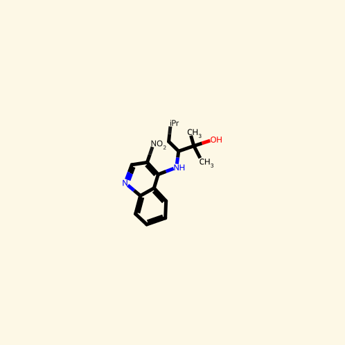 CC(C)CC(Nc1c([N+](=O)[O-])cnc2ccccc12)C(C)(C)O